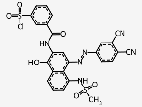 CS(=O)(=O)Nc1cccc2c(O)c(NC(=O)c3cccc(S(=O)(=O)Cl)c3)cc(N=Nc3ccc(C#N)c(C#N)c3)c12